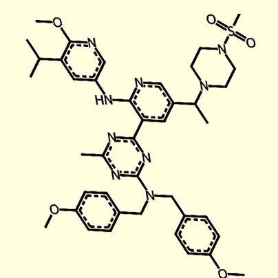 COc1ccc(CN(Cc2ccc(OC)cc2)c2nc(C)nc(-c3cc(C(C)N4CCN(S(C)(=O)=O)CC4)cnc3Nc3cnc(OC)c(C(C)C)c3)n2)cc1